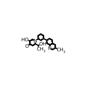 Cc1cnc2cc(-c3cccc(-n4cc(O)c(=O)cc4C(C)O)c3)ccc2c1